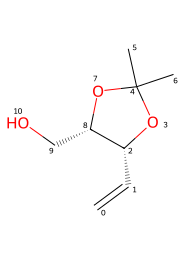 C=C[C@H]1OC(C)(C)O[C@H]1CO